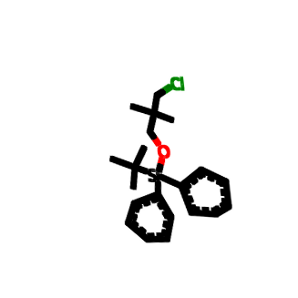 CC(C)(CCl)CO[Si](c1ccccc1)(c1ccccc1)C(C)(C)C